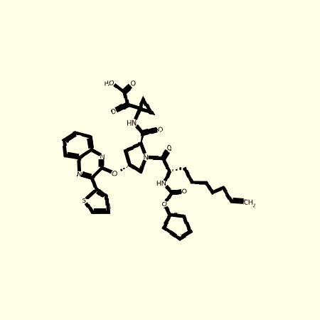 C=CCCCCC[C@H](NC(=O)OC1CCCC1)C(=O)N1C[C@H](Oc2nc3ccccc3nc2-c2cccs2)C[C@H]1C(=O)NC1(C(=O)C(=O)O)CC1